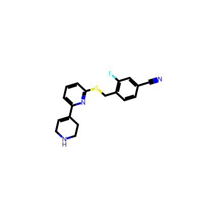 N#Cc1ccc(CSc2cccc(C3=CCNCC3)n2)c(F)c1